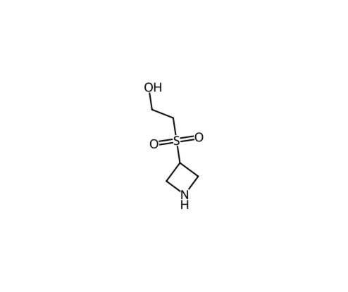 O=S(=O)(CCO)C1CNC1